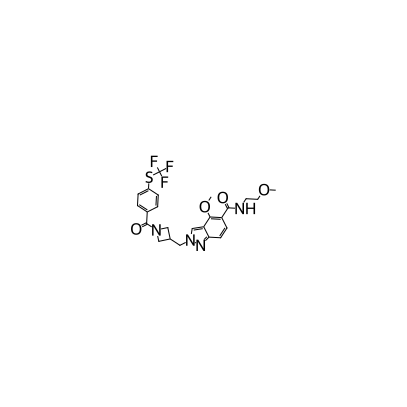 COCCNC(=O)c1ccc2nn(CC3CN(C(=O)c4ccc(SC(F)(F)F)cc4)C3)cc2c1OC